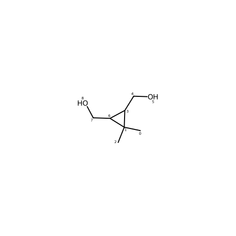 CC1(C)C(CO)C1CO